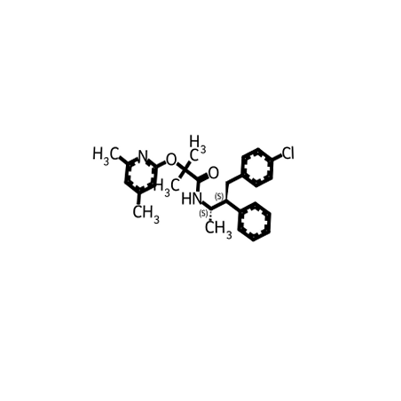 Cc1cc(C)nc(OC(C)(C)C(=O)N[C@@H](C)[C@@H](Cc2ccc(Cl)cc2)c2ccccc2)c1